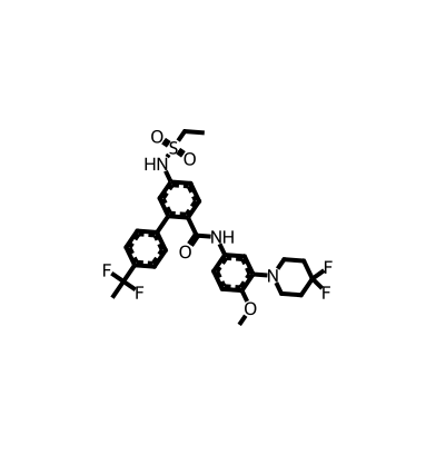 CCS(=O)(=O)Nc1ccc(C(=O)Nc2ccc(OC)c(N3CCC(F)(F)CC3)c2)c(-c2ccc(C(C)(F)F)cc2)c1